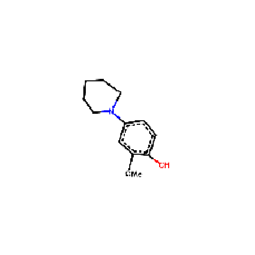 COc1cc(N2CCCCC2)ccc1O